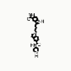 NC(=O)c1ccc2[nH]cc(CCCCn3ccc4cc(C(=O)NC5CCNCC5)ccc43)c2c1